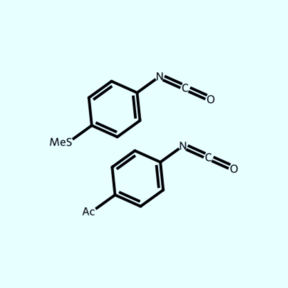 CC(=O)c1ccc(N=C=O)cc1.CSc1ccc(N=C=O)cc1